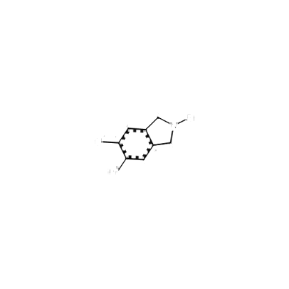 CCN1Cc2cc(Cl)c(C(C)C)cc2C1